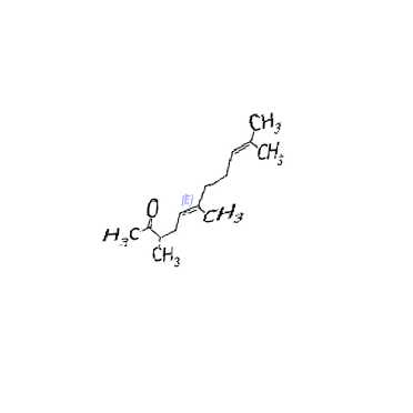 CC(=O)C(C)C/C=C(\C)CCC=C(C)C